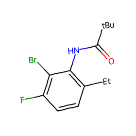 CCc1ccc(F)c(Br)c1NC(=O)C(C)(C)C